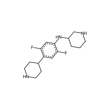 Fc1cc(C2CCNCC2)c(F)cc1NC1CCCNC1